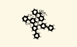 Cc1cccc(C)c1-c1cc2c3c(c1)N1C4=C(CCC=C4)C(C)(C)c4cccc(c41)N3N(c1ccc(-c3ccccc3)cc1)c1cc(-c3ccccc3)ccc1-2